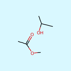 CC(C)O.COC(C)=O